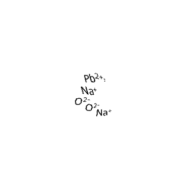 [Na+].[Na+].[O-2].[O-2].[Pb+2]